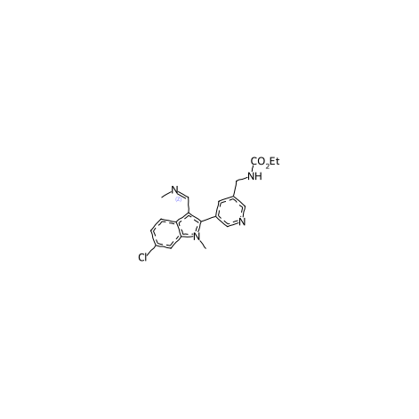 CCOC(=O)NCc1cncc(-c2c(/C=N\C)c3ccc(Cl)cc3n2C)c1